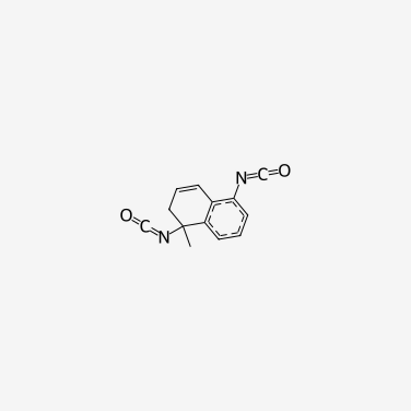 CC1(N=C=O)CC=Cc2c(N=C=O)cccc21